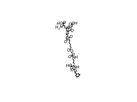 N[C@@H](CCC(=O)N[C@@H](CSC1CC(=O)N(CCCCCC(=O)OCOC(=O)NCCCC[C@H](NC(=O)OCc2ccccc2)C(=O)O)C1=O)C(=O)NCC(=O)O)C(=O)O